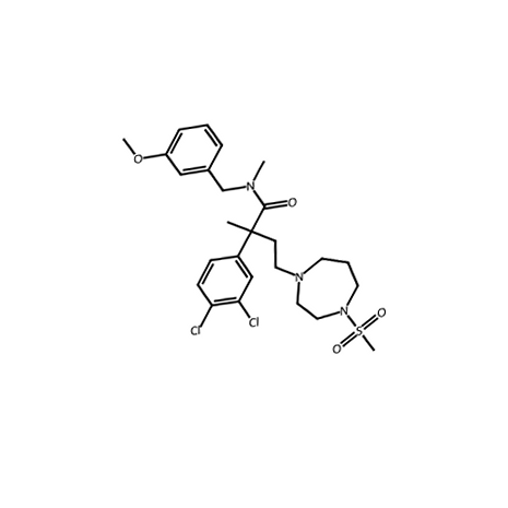 COc1cccc(CN(C)C(=O)C(C)(CCN2CCCN(S(C)(=O)=O)CC2)c2ccc(Cl)c(Cl)c2)c1